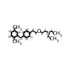 CCN(CC)CCOCCc1ccc(Cc2cc(C)ccc2C)cc1